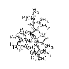 CN(C)C(=Nc1cc(N=P(N(C)C)(N(C)C)N(C)C)c2c(N=C(N(C)C)N(C)C)cccc2c1)N(C)C